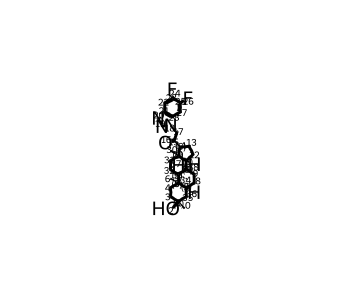 C[C@@]1(O)CC[C@@]2(C)[C@@H](CC[C@H]3[C@@H]4CC[C@H](C(=O)Cn5nnc6cc(F)c(F)cc65)[C@@]4(C)CC[C@@]32C)C1